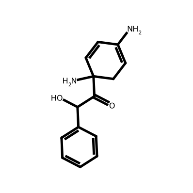 NC1=CCC(N)(C(=O)C(O)c2ccccc2)C=C1